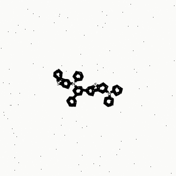 c1ccc(-c2cc(-c3ccc4c(c3)sc3ccc(N(c5ccccc5)c5ccccc5)cc34)cc(N(c3ccccc3)c3ccc4sc5ccccc5c4c3)c2)cc1